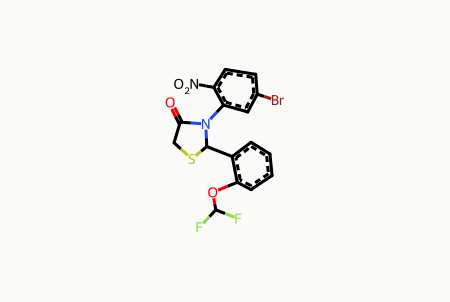 O=C1CSC(c2ccccc2OC(F)F)N1c1cc(Br)ccc1[N+](=O)[O-]